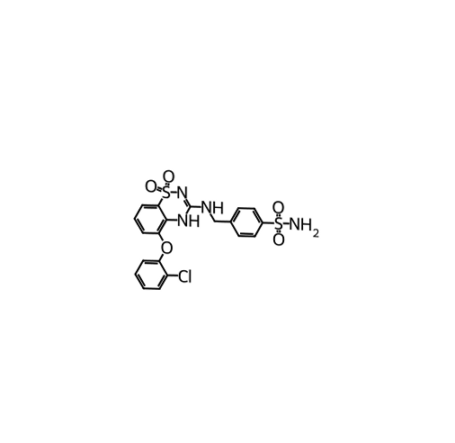 NS(=O)(=O)c1ccc(CNC2=NS(=O)(=O)c3cccc(Oc4ccccc4Cl)c3N2)cc1